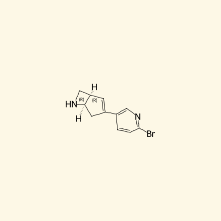 Brc1ccc(C2=C[C@@H]3CN[C@@H]3C2)cn1